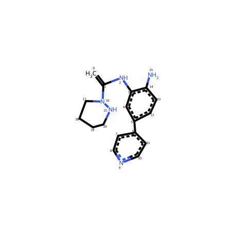 C=C(Nc1cc(-c2ccncc2)ccc1N)N1CCCCN1